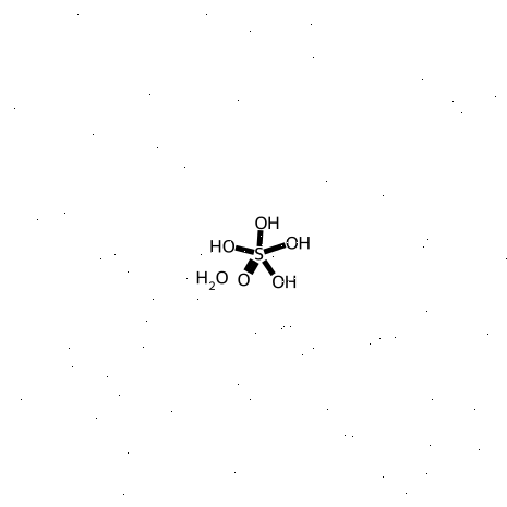 O.O=S(O)(O)(O)O